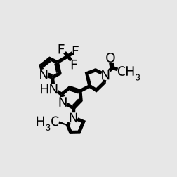 CC(=O)N1CCC(c2cc(Nc3cc(C(F)(F)F)ccn3)nc(N3CCC[C@H]3C)c2)CC1